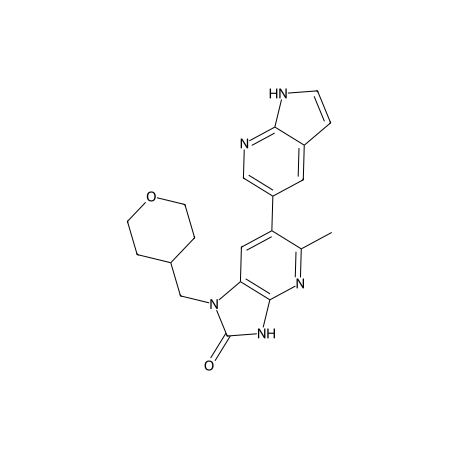 Cc1nc2[nH]c(=O)n(CC3CCOCC3)c2cc1-c1cnc2[nH]ccc2c1